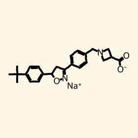 CC(C)(C)c1ccc(C2CC(c3ccc(CN4CC(C(=O)[O-])C4)cc3)=NO2)cc1.[Na+]